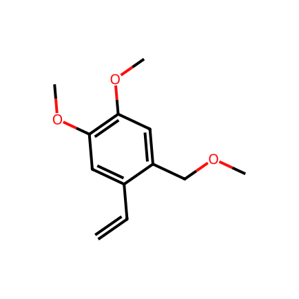 C=Cc1cc(OC)c(OC)cc1COC